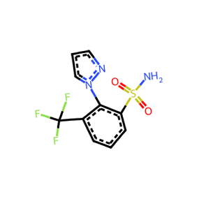 NS(=O)(=O)c1cccc(C(F)(F)F)c1-n1cccn1